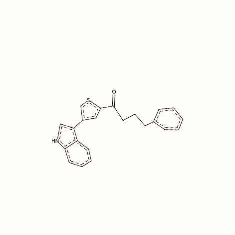 O=C(CCCc1ccccc1)c1cc(-c2c[nH]c3ccccc23)cs1